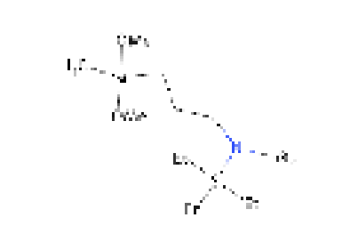 CCCCN(CCC[Si](C)(OC)OC)[Si](CC)(CC)CC